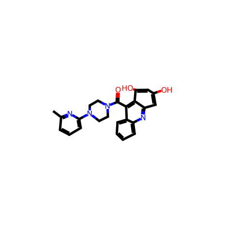 Cc1cccc(N2CCN(C(=O)c3c4ccccc4nc4cc(O)cc(O)c34)CC2)n1